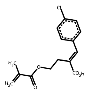 C=C(C)C(=O)OCCC(=Cc1ccc(Cl)cc1)C(=O)O